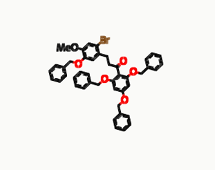 COc1cc(Br)c(CCC(=O)c2c(OCc3ccccc3)cc(OCc3ccccc3)cc2OCc2ccccc2)cc1OCc1ccccc1